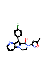 Cc1cc(N2CCn3c(c(-c4ccc(Cl)cc4)c4ncccc43)C2O)no1